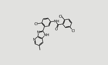 Cc1cnc2nc(-c3cc(NC(=O)c4cc(Cl)ccc4Cl)ccc3Cl)[nH]c2c1